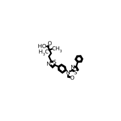 CC(C)(CCc1ncc(-c2ccc(N(C=O)c3nc(-c4ccccc4)cs3)cc2)s1)C(=O)O